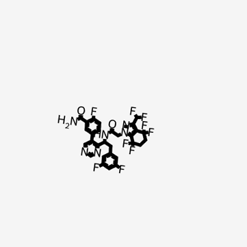 NC(=O)c1cc(-c2cncnc2C(Cc2cc(F)cc(F)c2)NC(=O)Cn2nc(C(F)F)c3c2C(F)(F)CCC3(F)F)ccc1F